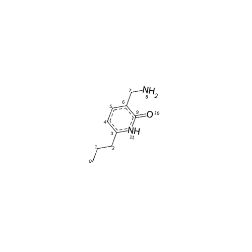 CCCc1ccc(CN)c(=O)[nH]1